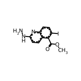 COC(=O)c1c(I)ccc2nc(NN)ccc12